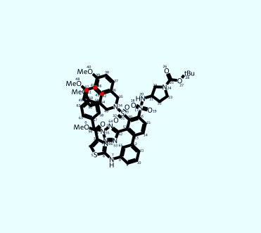 COC(=O)c1csc(Nc2cccc(-c3ccc(S(=O)(=O)NC4CCN(C(=O)OC(C)(C)C)C4)c(S(=O)(=O)N(Cc4ccc(OC)cc4)Cc4ccc(OC)cc4)c3-c3nnn(Cc4ccc(OC)cc4)n3)c2)n1